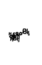 CCC(C)c1ccc(NC(=O)c2cc(C)n(-c3ccccc3C(F)(F)F)c2C)cc1